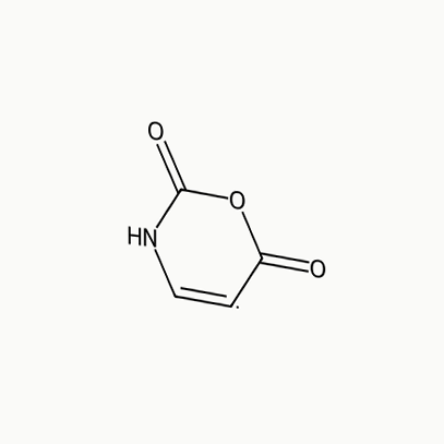 O=c1[c]c[nH]c(=O)o1